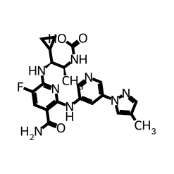 Cc1cnn(-c2cncc(Nc3nc(N[C@@H](C4CC4)[C@H](C)NC(=O)O)c(F)cc3C(N)=O)c2)c1